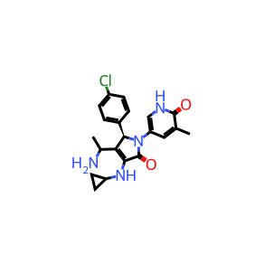 Cc1cc(N2C(=O)C(NC3CC3)=C(C(C)N)[C@H]2c2ccc(Cl)cc2)c[nH]c1=O